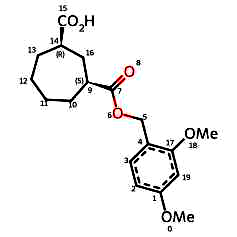 COc1ccc(COC(=O)[C@H]2CCCC[C@@H](C(=O)O)C2)c(OC)c1